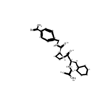 N=C(N)c1ccc(CNC(=O)[C@@H]2CCN2C(=O)[C@@H](CC2CCCCC2)NCC(=O)O)cc1